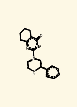 O=c1[nH]c(N2CCNC(c3ccccc3)C2)nc2c1CCCC2